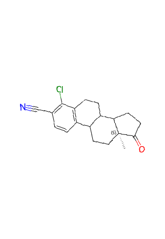 C[C@]12CCC3c4ccc(C#N)c(Cl)c4CCC3C1CCC2=O